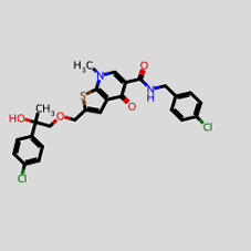 Cn1cc(C(=O)NCc2ccc(Cl)cc2)c(=O)c2cc(COCC(C)(O)c3ccc(Cl)cc3)sc21